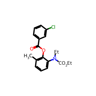 CCOC(=O)N(CC)c1cccc(C)c1OC(=O)c1cccc(Cl)c1